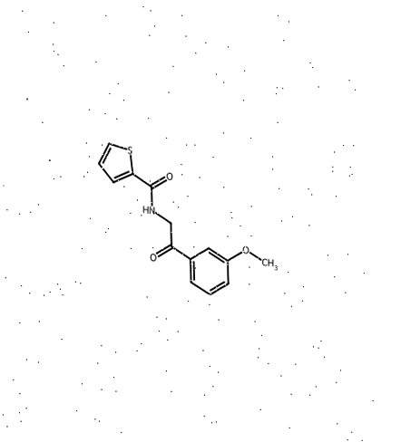 COc1cccc(C(=O)CNC(=O)c2cccs2)c1